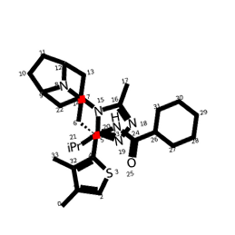 Cc1csc([C@H](CCN2C3CCC2CC(n2c(C)nnc2C(C)C)C3)NC(=O)C2CCCCC2)c1C